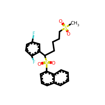 CS(=O)(=O)CCCCC(c1cc(F)ccc1F)S(=O)(=O)c1cccc2ccccc12